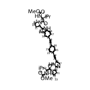 COC(=O)N[C@H](C(=O)N1C[C@@H](C)CC1c1nc2cc(C#Cc3ccc(C#Cc4cnc([C@@H]5C[C@H](C)CN5C(=O)[C@@H](NC(=O)OC)C(C)C)[nH]4)cc3)ccc2[nH]1)C(C)C